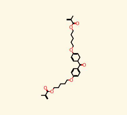 C=C(C)C(=O)OCCCCCOC1=CCC(C(=O)c2ccc(OCCCCCOC(=O)C(=C)C)cc2)C=C1